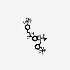 CS(=O)(=O)c1ccc(CNC(=O)c2ccc3c(c2)nc(C2(F)CC2)n3Cc2cccc3c2OC(F)(F)O3)cc1